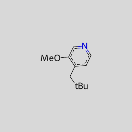 COc1cnccc1CC(C)(C)C